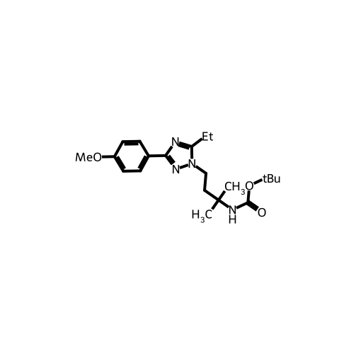 CCc1nc(-c2ccc(OC)cc2)nn1CCC(C)(C)NC(=O)OC(C)(C)C